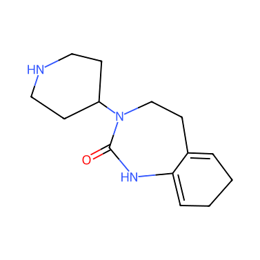 O=C1NC2=CCCC=C2CCN1C1CCNCC1